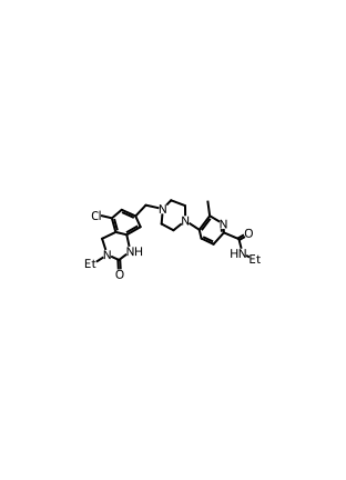 CCNC(=O)c1ccc(N2CCN(Cc3cc(Cl)c4c(c3)NC(=O)N(CC)C4)CC2)c(C)n1